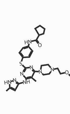 COCCN1CCN(c2nc(Sc3ccc(NC(=O)C4CCCC4)cc3)nc(Nc3cc(C)[nH]n3)c2C)CC1